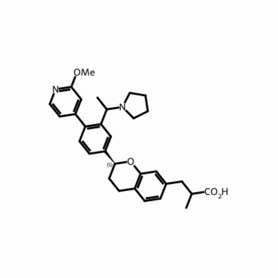 COc1cc(-c2ccc([C@@H]3CCc4ccc(CC(C)C(=O)O)cc4O3)cc2C(C)N2CCCC2)ccn1